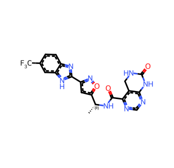 C[C@@H](NC(=O)c1ncnc2c1CNC(=O)N2)c1cc(-c2nc3ccc(C(F)(F)F)cc3[nH]2)no1